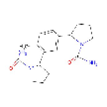 Cc1ccc(C2CCCN2C(N)=O)cc1C1CCCN1C(N)=O